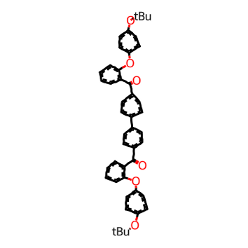 CC(C)(C)Oc1ccc(Oc2ccccc2C(=O)c2ccc(-c3ccc(C(=O)c4ccccc4Oc4ccc(OC(C)(C)C)cc4)cc3)cc2)cc1